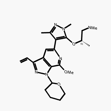 C=Cc1nn(C2CCCCO2)c2c(OC)nc(-c3c(C)nn(C)c3O[C@@H](C)CNC)cc12